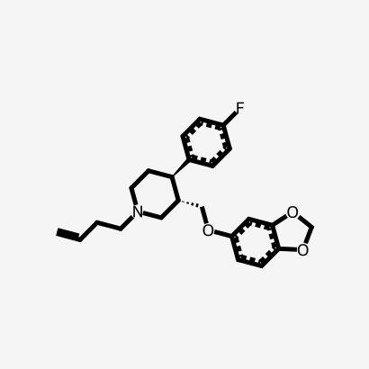 C=CCCN1CC[C@@H](c2ccc(F)cc2)[C@H](COc2ccc3c(c2)OCO3)C1